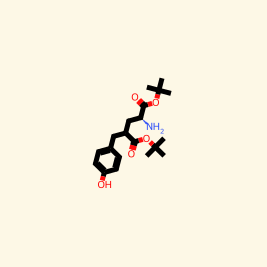 CC(C)(C)OC(=O)C(Cc1ccc(O)cc1)C[C@@H](N)C(=O)OC(C)(C)C